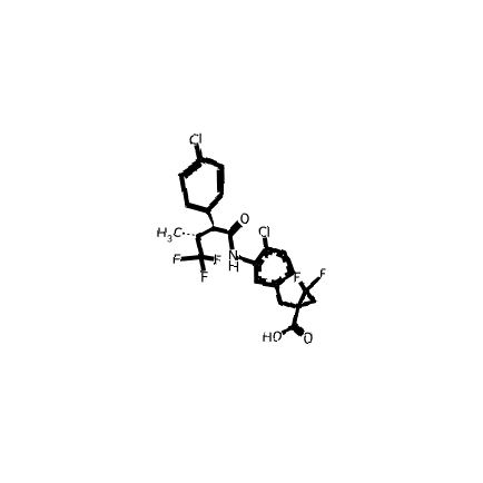 C[C@H]([C@H](C(=O)Nc1cc(CC2(C(=O)O)CC2(F)F)ccc1Cl)C1C=CC(Cl)=CC1)C(F)(F)F